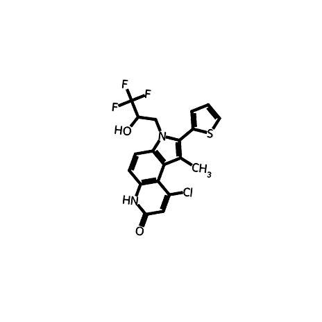 Cc1c(-c2cccs2)n(CC(O)C(F)(F)F)c2ccc3[nH]c(=O)cc(Cl)c3c12